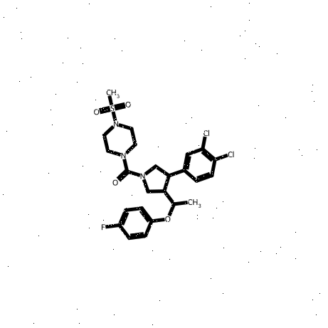 CC(Oc1ccc(F)cc1)C1CN(C(=O)N2CCN(S(C)(=O)=O)CC2)CC1c1ccc(Cl)c(Cl)c1